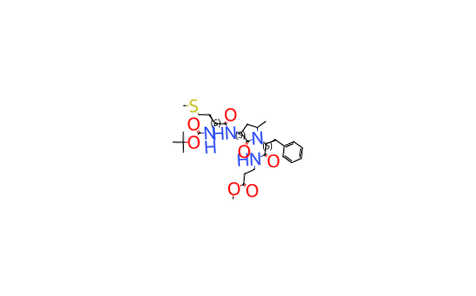 COC(=O)CCNC(=O)[C@H](Cc1ccccc1)N1C(=O)[C@@H](NC(=O)[C@H](CCSC)NC(=O)OC(C)(C)C)CC1C